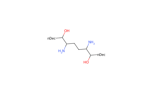 CCCCCCCCCCC(O)C(N)CCC(N)C(O)CCCCCCCCCC